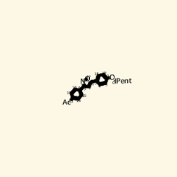 CCCC(C)Oc1ccc(-c2cc(-c3ccc(C(C)=O)cc3)no2)cc1